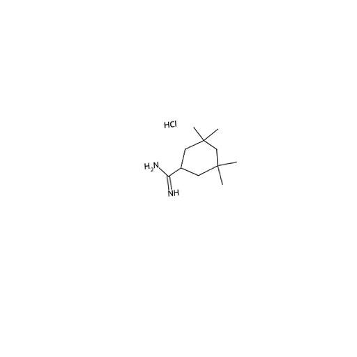 CC1(C)CC(C(=N)N)CC(C)(C)C1.Cl